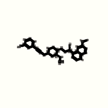 COc1ccc2nccc([C@H](F)CC[C@@H]3CCN(CC#Cc4cccc(F)c4)C[C@@H]3CO)c2c1